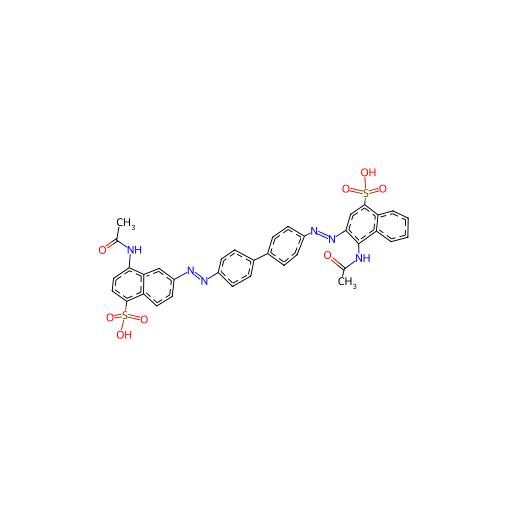 CC(=O)Nc1ccc(S(=O)(=O)O)c2ccc(N=Nc3ccc(-c4ccc(N=Nc5cc(S(=O)(=O)O)c6ccccc6c5NC(C)=O)cc4)cc3)cc12